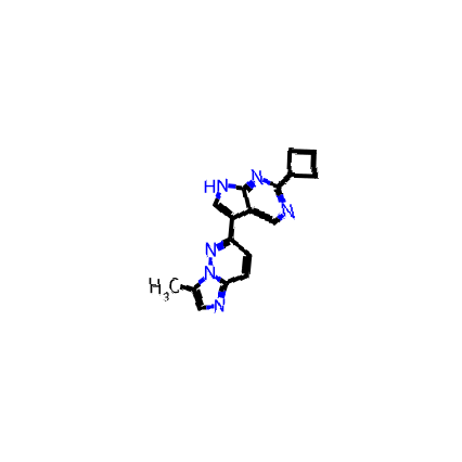 Cc1cnc2ccc(-c3c[nH]c4nc(C5CCC5)ncc34)nn12